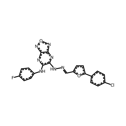 Fc1ccc(Nc2nc3nonc3nc2NN=Cc2ccc(-c3ccc(Cl)cc3)o2)cc1